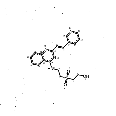 O=S(=O)(CCO)CCNc1nc(C=Cc2cccnc2)nc2ccccc12